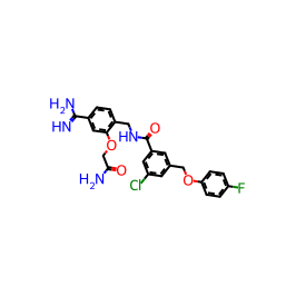 N=C(N)c1ccc(CNC(=O)c2cc(Cl)cc(COc3ccc(F)cc3)c2)c(OCC(N)=O)c1